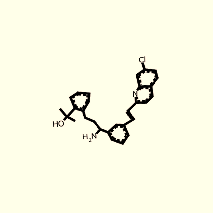 CC(C)(O)c1ccccc1CCC(N)c1cccc(/C=C/c2ccc3ccc(Cl)cc3n2)c1